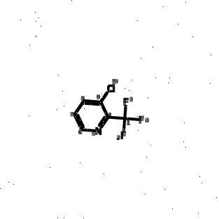 FC(F)(F)c1ncccc1Cl